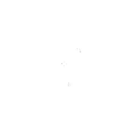 Cc1cccc(COc2cc(C)c(C)cc2Br)n1